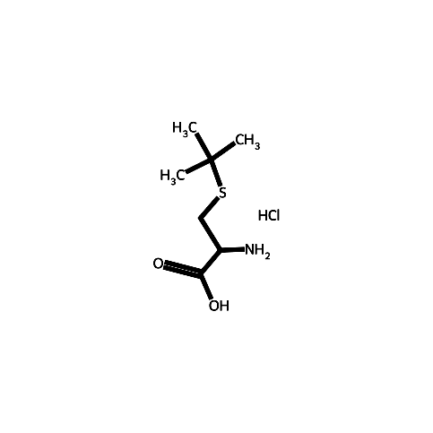 CC(C)(C)SCC(N)C(=O)O.Cl